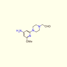 COc1cc(N)cc(N2CCN(CC=O)CC2)n1